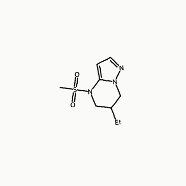 CCC1CN(S(C)(=O)=O)c2ccnn2C1